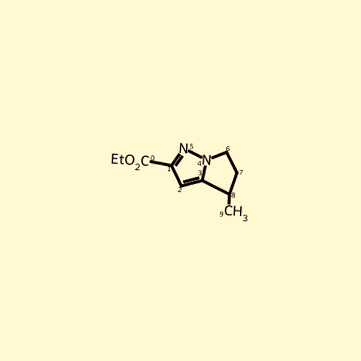 CCOC(=O)c1cc2n(n1)CCC2C